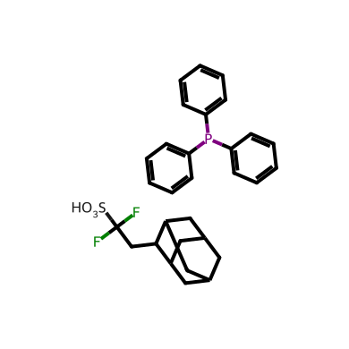 O=S(=O)(O)C(F)(F)CC1C2CC3CC(C2)CC1C3.c1ccc(P(c2ccccc2)c2ccccc2)cc1